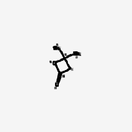 CC(C)(C)C1(C(C)(C)C)CC(=O)O1